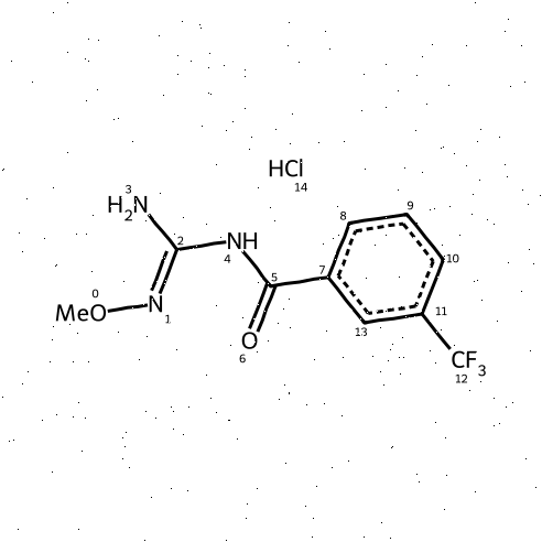 CON=C(N)NC(=O)c1cccc(C(F)(F)F)c1.Cl